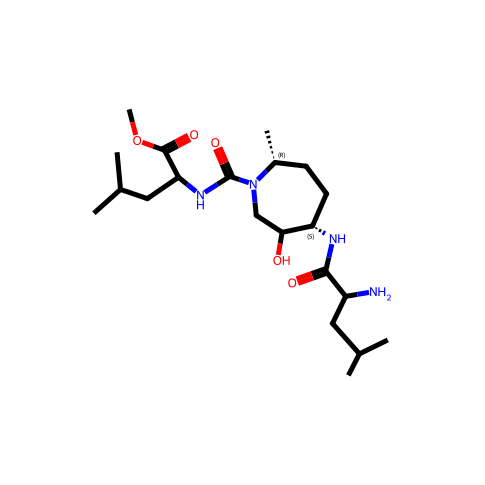 COC(=O)C(CC(C)C)NC(=O)N1CC(O)[C@@H](NC(=O)C(N)CC(C)C)CC[C@H]1C